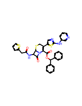 O=C(Cc1cccs1)NC1C(=O)N2C(C(=O)OC(c3ccccc3)c3ccccc3)=C(c3cnc(Nc4cccnc4)s3)CSC12